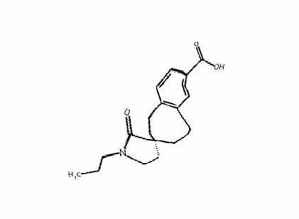 CCCN1CC[C@]2(CCc3cc(C(=O)O)ccc3C2)C1=O